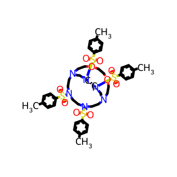 Cc1ccc(S(=O)(=O)N2CCN3CCOCCOCCN(CCN(S(=O)(=O)c4ccc(C)cc4)CC2)CCN(S(=O)(=O)c2ccc(C)cc2)CCN(S(=O)(=O)c2ccc(C)cc2)CC3)cc1